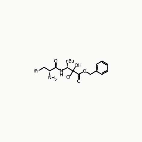 CCCC[C@H](NC(=O)[C@@H](N)CC(C)C)C(O)(Cl)C(=O)OCc1ccccc1